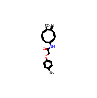 C=C1/C=C\C=C(\NC(=O)COc2ccc(C(C)CC)cc2)C/C=C\C=C/1S(=O)(=O)O